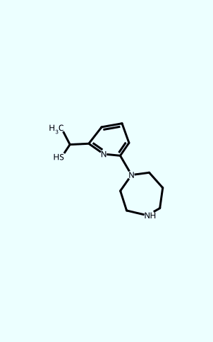 CC(S)c1cccc(N2CCCNCC2)n1